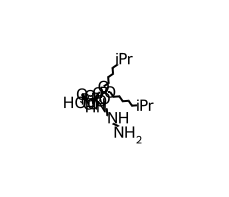 CC(C)CCCCCOP(=O)(OCCCCCC(C)C)OP(=O)(ONCCNCCN)OP(=O)(O)O